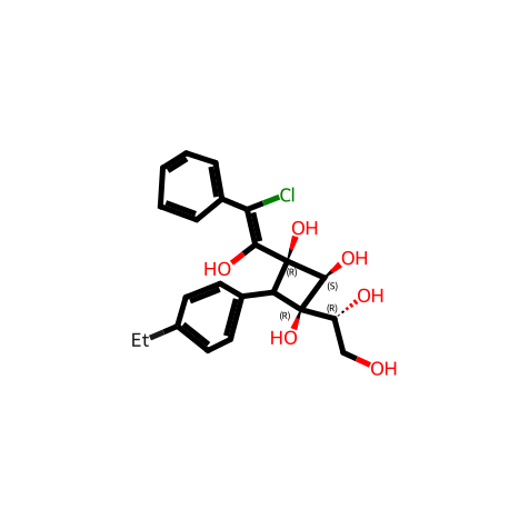 CCc1ccc(C2[C@@](O)([C@H](O)CO)[C@H](O)[C@@]2(O)C(O)=C(Cl)c2ccccc2)cc1